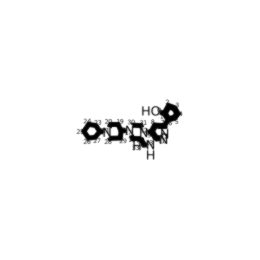 Oc1ccccc1-c1cc2c(nn1)NC[C@H]1CN(C3CCN(C4CCCCC4)CC3)CCN21